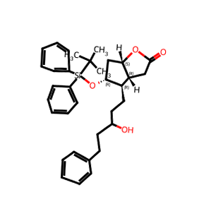 CC(C)(C)[Si](O[C@@H]1C[C@@H]2OC(=O)C[C@@H]2[C@H]1CCC(O)CCc1ccccc1)(c1ccccc1)c1ccccc1